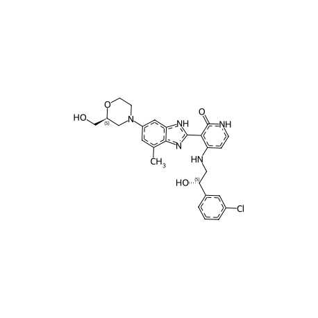 Cc1cc(N2CCO[C@H](CO)C2)cc2[nH]c(-c3c(NC[C@@H](O)c4cccc(Cl)c4)cc[nH]c3=O)nc12